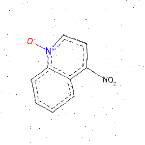 O=[N+]([O-])c1cc[n+]([O-])c2ccccc12